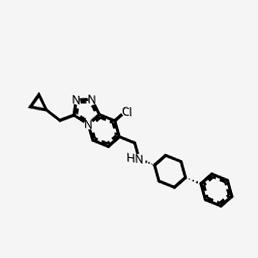 Clc1c(CN[C@H]2CC[C@@H](c3ccccc3)CC2)ccn2c(CC3CC3)nnc12